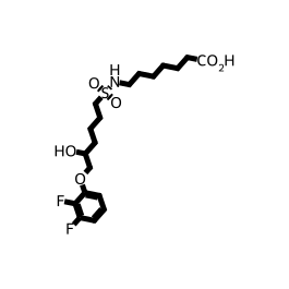 O=C(O)CCCCCCNS(=O)(=O)CCCCC(O)COc1cccc(F)c1F